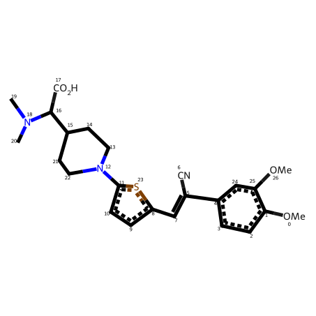 COc1ccc(C(C#N)=Cc2ccc(N3CCC(C(C(=O)O)N(C)C)CC3)s2)cc1OC